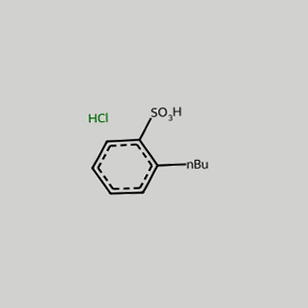 CCCCc1ccccc1S(=O)(=O)O.Cl